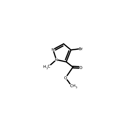 COC(=O)c1c(Br)cnn1C